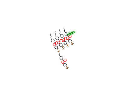 CCCCC1CCC(C(=O)Oc2ccc([S])cc2)CC1.CCCCC1CCC(C(=O)Oc2ccc([S])cc2)CC1.CCCCC1CCC(C(=O)Oc2ccc([S])cc2)CC1.CCCCC1CCC(C(=O)Oc2ccc([S])cc2)CC1.CCCCC1CCC(C(=O)Oc2ccc([S])cc2)CC1.F.F.F.F.F